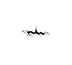 C=C(C)CCC(F)=CCCC